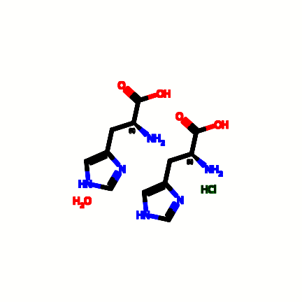 Cl.N[C@@H](Cc1c[nH]cn1)C(=O)O.N[C@@H](Cc1c[nH]cn1)C(=O)O.O